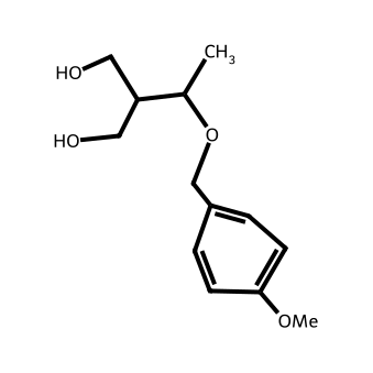 COc1ccc(COC(C)C(CO)CO)cc1